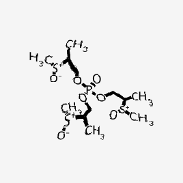 CC(COP(=O)(OCC(C)[S+](C)[O-])OCC(C)[S+](C)[O-])[S+](C)[O-]